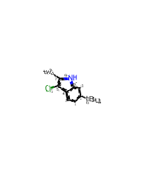 CC(C)(C)c1ccc2c(Cl)c(C(C)(C)C)[nH]c2c1